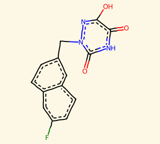 O=c1[nH]c(=O)n(Cc2ccc3cc(F)ccc3c2)nc1O